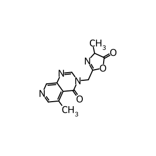 Cc1cncc2ncn(CC3=NC(C)C(=O)O3)c(=O)c12